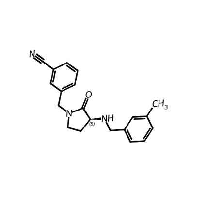 Cc1cccc(CN[C@H]2CCN(Cc3cccc(C#N)c3)C2=O)c1